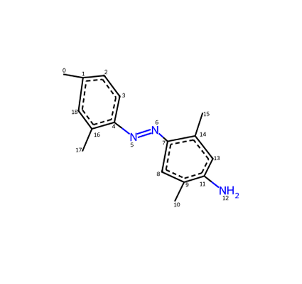 Cc1ccc(N=Nc2cc(C)c(N)cc2C)c(C)c1